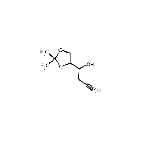 C#CCC(O)C1COC(C(F)(F)F)(C(F)(F)F)O1